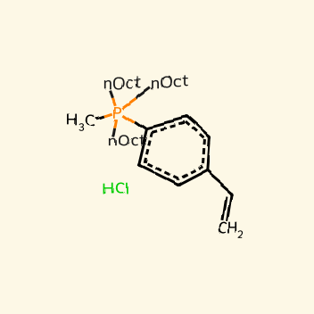 C=Cc1ccc(P(C)(CCCCCCCC)(CCCCCCCC)CCCCCCCC)cc1.Cl